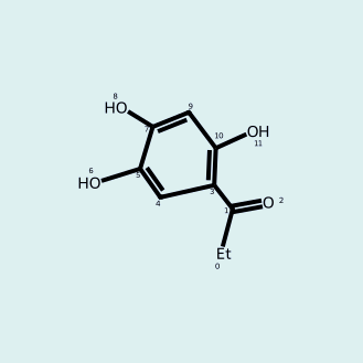 CCC(=O)c1cc(O)c(O)cc1O